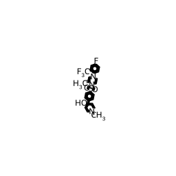 C[C@@H]1CN(c2ccc(F)cc2C(F)(F)F)CCN1S(=O)(=O)c1ccc(C2(O)CCN(C)CC2)cc1